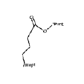 CCCCCCCCCCC(=O)OCCCCC